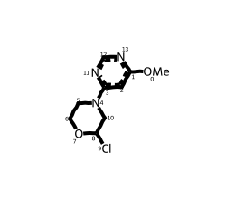 COc1cc(N2CCOC(Cl)C2)ncn1